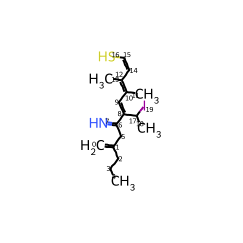 C=C(CCC)CC(=N)/C(=C/C(C)=C(C)/C=C\S)C(C)I